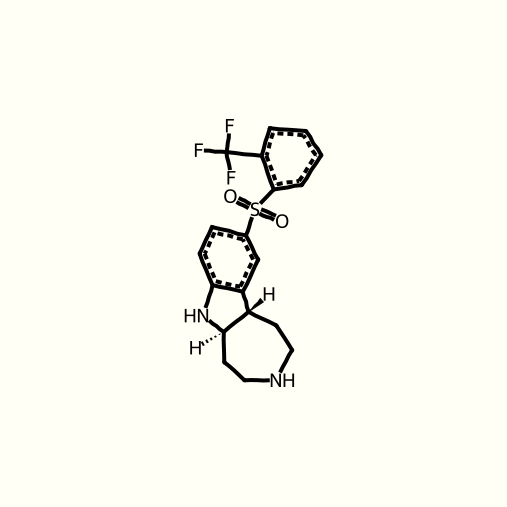 O=S(=O)(c1ccc2c(c1)[C@@H]1CCNCC[C@H]1N2)c1ccccc1C(F)(F)F